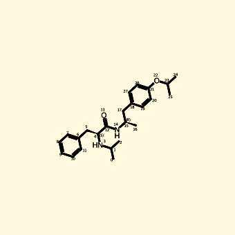 CC(C)N[C@@H](Cc1ccccc1)C(=O)N[C@H](C)Cc1ccc(OC(C)C)cc1